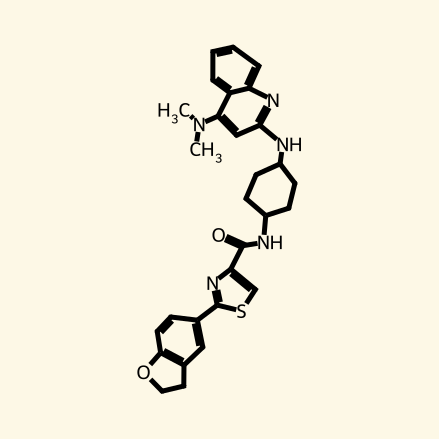 CN(C)c1cc(NC2CCC(NC(=O)c3csc(-c4ccc5c(c4)CCO5)n3)CC2)nc2ccccc12